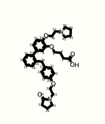 O=C(O)CCCOc1cc(-c2ccccc2Cc2ccc(OCCN3CCCC3=O)cc2)ccc1OCCN1CCCC1